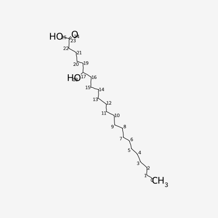 CCCCCCCCCCCCCCCCCC(O)CCCCC(=O)O